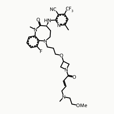 COCCN(C)C/C=C/C(=O)N1CC(OCCCN2CC[C@H](Nc3nc(C)cc(C(F)(F)F)c3C#N)C(=O)N(C)c3cccc(F)c32)C1